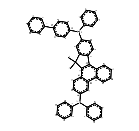 CC1(C)c2cc(N(c3ccccc3)c3ccc(-c4ccccc4)cc3)ccc2-c2c1c1ccc(N(c3ccccc3)c3ccccc3)cc1c1ccccc21